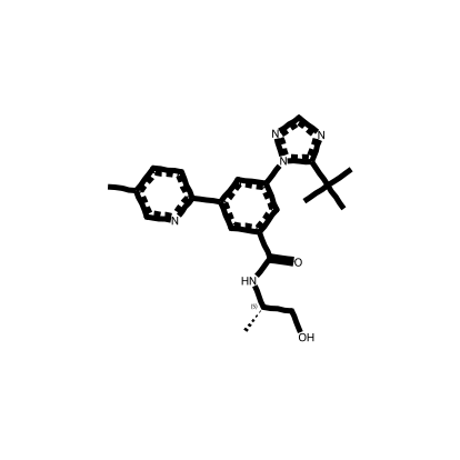 Cc1ccc(-c2cc(C(=O)N[C@@H](C)CO)cc(-n3ncnc3C(C)(C)C)c2)nc1